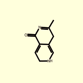 CC1=NC(=O)C2=CCNC=C2C1